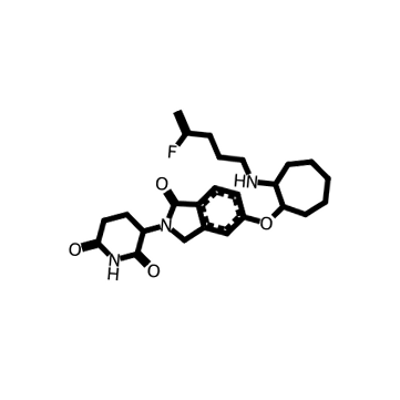 C=C(F)CCCNC1CCCCCC1Oc1ccc2c(c1)CN(C1CCC(=O)NC1=O)C2=O